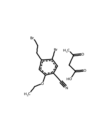 CC(=O)CC(=O)O.CCOc1cc(CCBr)c(Br)cc1C#N